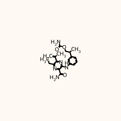 C=C(C)c1nc(Nc2cccc(C(C)COC(N)=O)c2)c(C(N)=O)nc1CC